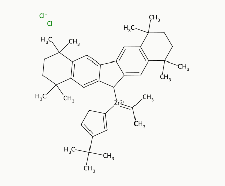 C[C](C)=[Zr+2]([C]1=CC(C(C)(C)C)=CC1)[CH]1c2cc3c(cc2-c2cc4c(cc21)C(C)(C)CCC4(C)C)C(C)(C)CCC3(C)C.[Cl-].[Cl-]